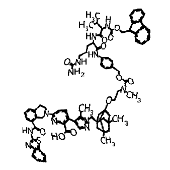 Cc1c(-c2ccc(N3CCc4cccc(C(=O)Nc5nc6ccccc6s5)c4C3)nc2C(=O)O)cnn1CC12CC3(C)CC(C)(C1)CC(OCCN(C)C(=O)OCc1ccc(NC(=O)C(CCCNC(N)=O)NC(=O)C(NC(=O)OCC4c5ccccc5-c5ccccc54)C(C)C)cc1)(C3)C2